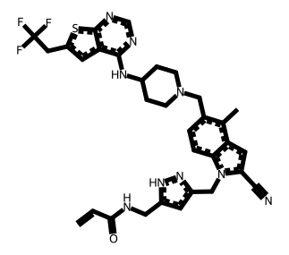 C=CC(=O)NCc1cc(Cn2c(C#N)cc3c(C)c(CN4CCC(Nc5ncnc6sc(CC(F)(F)F)cc56)CC4)ccc32)n[nH]1